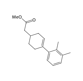 COC(=O)CC1CC=C(c2cccc(C)c2C)CC1